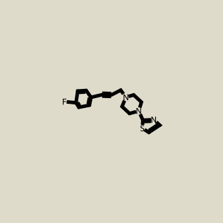 Fc1ccc(C#CCN2CCN(c3nccs3)CC2)cc1